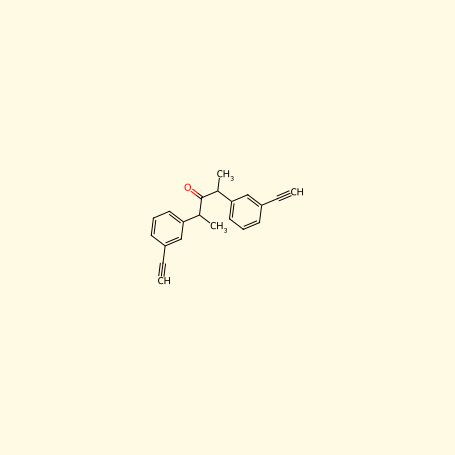 C#Cc1cccc(C(C)C(=O)C(C)c2cccc(C#C)c2)c1